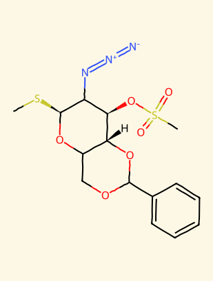 CS[C@@H]1OC2COC(c3ccccc3)O[C@H]2[C@H](OS(C)(=O)=O)C1N=[N+]=[N-]